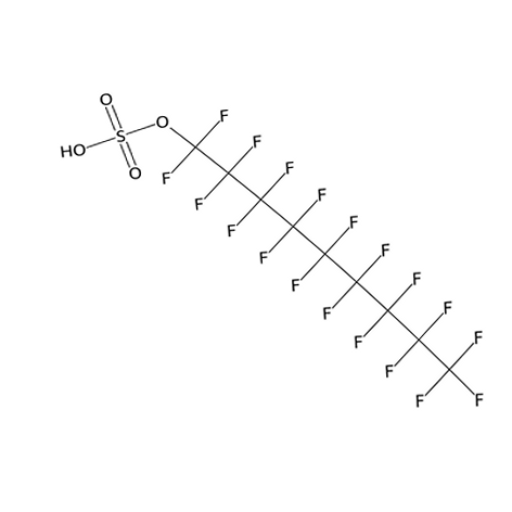 O=S(=O)(O)OC(F)(F)C(F)(F)C(F)(F)C(F)(F)C(F)(F)C(F)(F)C(F)(F)C(F)(F)C(F)(F)F